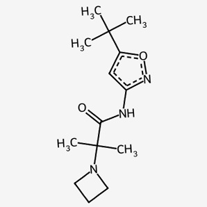 CC(C)(C)c1cc(NC(=O)C(C)(C)N2CCC2)no1